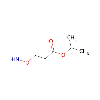 CC(C)OC(=O)CCO[NH]